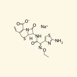 C=CC1=C(C(=O)[O-])N2C(=O)C(NC(=O)/C(=N/OCC)c3csc(N)n3)[C@H]2SC1.[Na+]